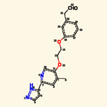 Cc1cc(-c2ccn[nH]2)ncc1OCCOc1cccc(CC=O)c1